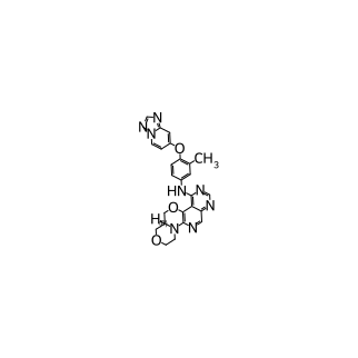 Cc1cc(Nc2ncnc3cnc4c(c23)OC[C@H]2COCCN42)ccc1Oc1ccn2ncnc2c1